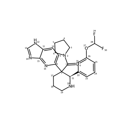 O=C(N1CCCC1)C1(c2ccc3[nH]cnc3n2)CCCN[C@@H]1c1cccc(OC(F)F)c1